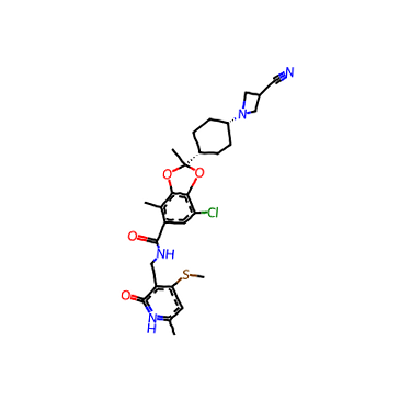 CSc1cc(C)[nH]c(=O)c1CNC(=O)c1cc(Cl)c2c(c1C)OC(C)([C@H]1CC[C@@H](N3CC(C#N)C3)CC1)O2